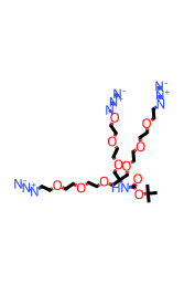 CC(C)(C)OC(=O)NC(COCCOCCOCCN=[N+]=[N-])(COCCOCCOCCN=[N+]=[N-])COCCOCCON=[N+]=[N-]